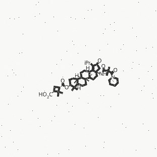 CC(C)C1=C2[C@H]3CC[C@@H]4[C@@]5(C)CC[C@H](OC(=O)[C@H]6C[C@@H](C(=O)O)C6(C)C)C(C)(C)[C@@H]5CC[C@@]4(C)[C@]3(C)CC[C@@]2(NC(=O)C(C)(C)C(=O)N2CCCCC2)CC1=O